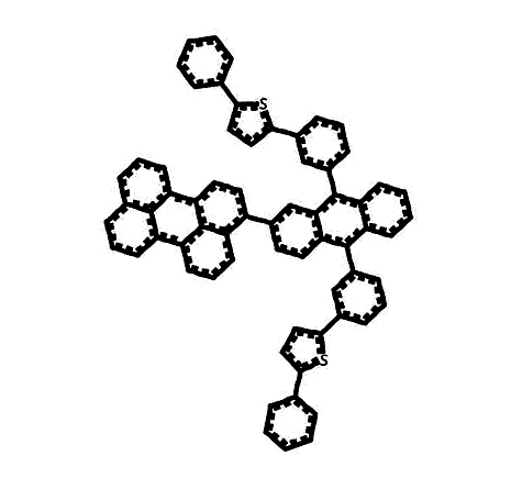 c1ccc(-c2ccc(-c3cccc(-c4c5ccccc5c(-c5cccc(-c6ccc(-c7ccccc7)s6)c5)c5cc(-c6ccc7c8cccc9cccc(c%10cccc6c%107)c98)ccc45)c3)s2)cc1